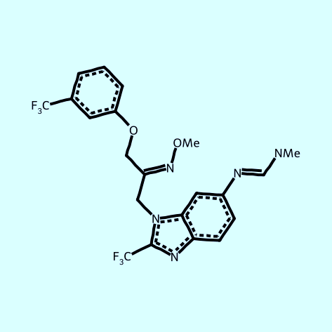 CNC=Nc1ccc2nc(C(F)(F)F)n(CC(COc3cccc(C(F)(F)F)c3)=NOC)c2c1